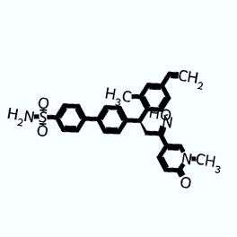 C=Cc1ccc([C@@H](C/C(=N\O)c2ccc(=O)n(C)c2)c2ccc(-c3ccc(S(N)(=O)=O)cc3)cc2)c(C)c1